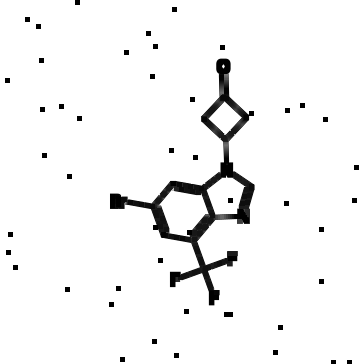 O=C1CC(n2cnc3c(C(F)(F)F)cc(Br)cc32)C1